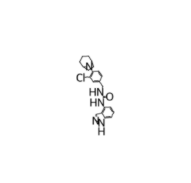 O=C(NCc1ccc(N2C3CCCC2CC3)c(Cl)c1)Nc1cccc2[nH]ncc12